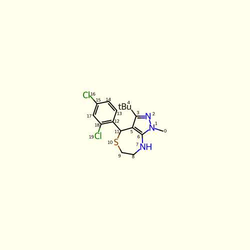 Cn1nc(C(C)(C)C)c2c1NCCSC2c1ccc(Cl)cc1Cl